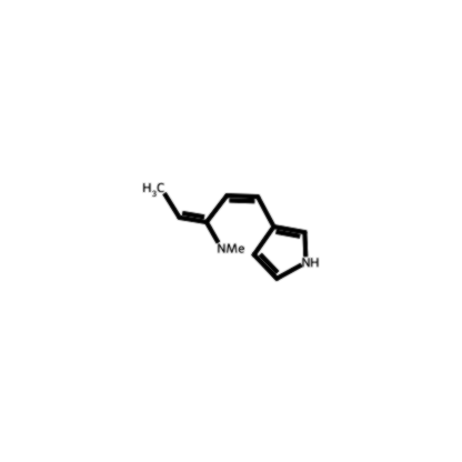 C/C=C(\C=C/c1cc[nH]c1)NC